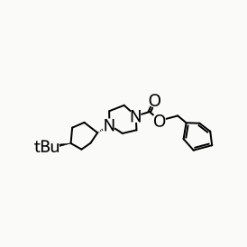 CC(C)(C)[C@H]1CC[C@H](N2CCN(C(=O)OCc3ccccc3)CC2)CC1